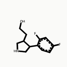 OCCC1CNCC1c1ccc(F)cc1F